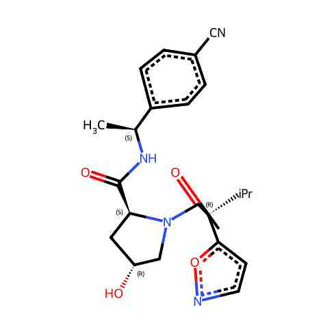 CC(C)[C@@H](C(=O)N1C[C@H](O)C[C@H]1C(=O)N[C@@H](C)c1ccc(C#N)cc1)c1ccno1